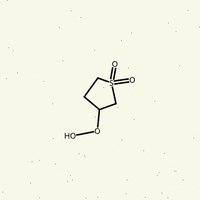 O=S1(=O)CCC(OO)C1